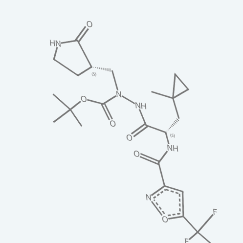 CC1(C[C@H](NC(=O)c2cc(C(F)(F)F)on2)C(=O)NN(C[C@@H]2CCNC2=O)C(=O)OC(C)(C)C)CC1